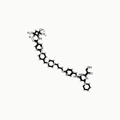 CC/C(C=N)=C1\N=C(N2CCCCC2)C=C(NCc2ccc(OCCCN3CCN(CC4CCN(c5ncc(C(=O)NC6C(C)(C)CC6(C)C)cn5)CC4)CC3)nc2)N1